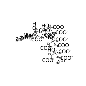 N.N.N.O=C([O-])CC(O)(CC(=O)[O-])C(=O)[O-].O=C([O-])CC(O)(CC(=O)[O-])C(=O)[O-].O=C([O-])CC(O)(CC(=O)[O-])C(=O)[O-].O=C([O-])CC(O)(CC(=O)[O-])C(=O)[O-].[Zr+4].[Zr+4].[Zr+4]